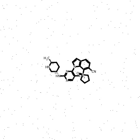 Cc1cnc(N[C@H]2CC[C@H](C)NC2)nc1-n1ccc2ccc(C#N)c(P3(=O)CCCC3)c21